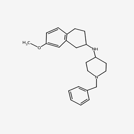 COc1ccc2c(c1)CC(NC1CCN(Cc3ccccc3)CC1)CC2